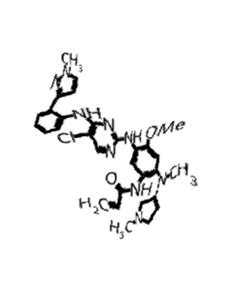 C=CC(=O)Nc1cc(Nc2ncc(Cl)c(Nc3ccccc3-c3ccn(C)n3)n2)c(OC)cc1N(C)[C@@H]1CCN(C)C1